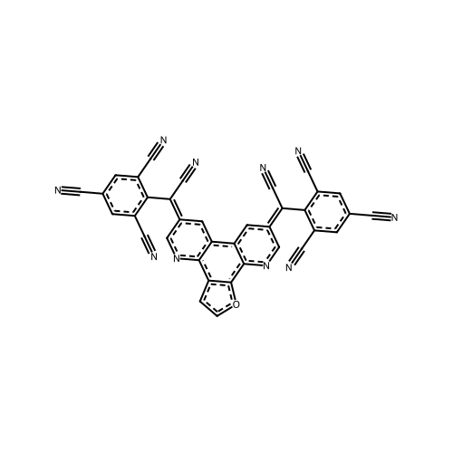 N#C/C(c1c(C#N)cc(C#N)cc1C#N)=c1/cnc2c(c1)c1c/c(=C(\C#N)c3c(C#N)cc(C#N)cc3C#N)cnc1c1occc21